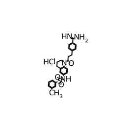 Cc1cccc(S(=O)(=O)Nc2ccc3c(c2)CCCN3C(=O)CCc2ccc(C(=N)N)cc2)c1.Cl